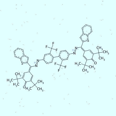 CC(C)(C)C1=CC(=C(/N=N/c2ccc(-c3ccc(/N=N/C(=C4C=C(C(C)(C)C)C(=O)C(C(C)(C)C)=C4)c4cc5ccccc5s4)cc3C(F)(F)F)c(C(F)(F)F)c2)c2cc3ccccc3s2)C=C(C(C)(C)C)C1=O